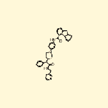 O=C(Nc1ccc(N2CCC(C(C(=O)NCc3ccccc3)c3ccccc3)CC2)cc1)c1cccc2c1-c1ccccc1C2